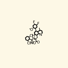 COc1cc(F)c(F)cc1-c1ccc(C[C@H](NC(=O)c2c(Cl)cccc2Cl)C(=O)O)c2nccc(C)c12